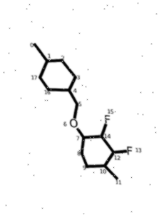 CC1CCC(COC2CCC(C)C(F)C2F)CC1